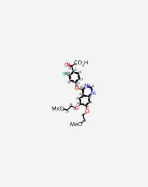 COCCOc1cc2ncnc(Oc3ccc(C(=O)C(=O)O)c(F)c3)c2cc1OCCOC